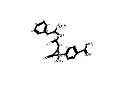 N=C(N)c1ccc([N+]2(N)C(=O)C2CC(=O)NC(Cc2ccccc2)C(=O)O)cc1